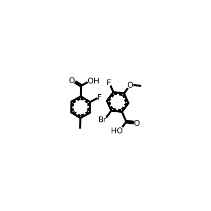 COc1cc(C(=O)O)c(Br)cc1F.Cc1ccc(C(=O)O)c(F)c1